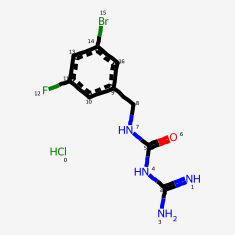 Cl.N=C(N)NC(=O)NCc1cc(F)cc(Br)c1